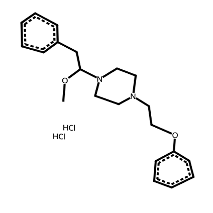 COC(Cc1ccccc1)N1CCN(CCOc2ccccc2)CC1.Cl.Cl